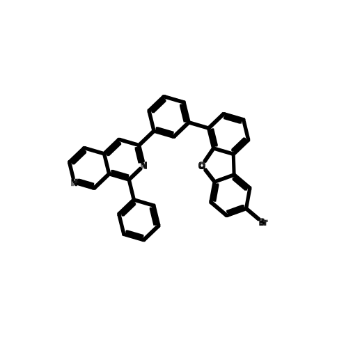 Brc1ccc2oc3c(-c4cccc(-c5cc6ccncc6c(-c6ccccc6)n5)c4)cccc3c2c1